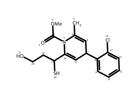 COC(=O)N1C(C)=CC(c2ccccc2Cl)C=C1C(S)CCO